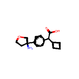 NC1(c2ccc(C(C(=O)O)C3CCC3)cc2)CCOC1